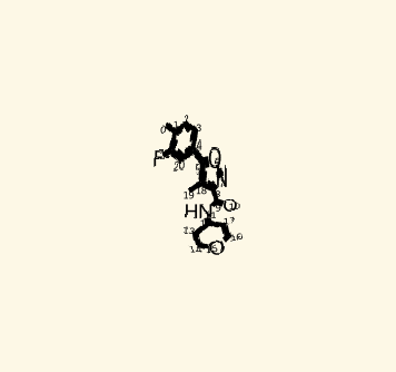 Cc1ccc(-c2onc(C(=O)NC3CCOCC3)c2C)cc1F